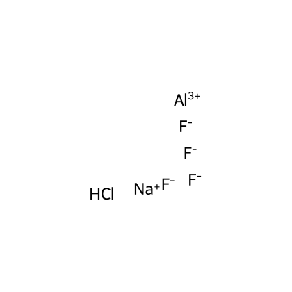 Cl.[Al+3].[F-].[F-].[F-].[F-].[Na+]